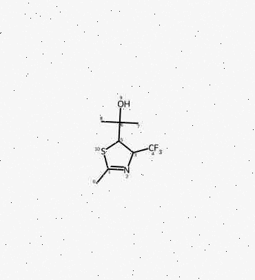 CC1=NC(C(F)(F)F)C(C(C)(C)O)S1